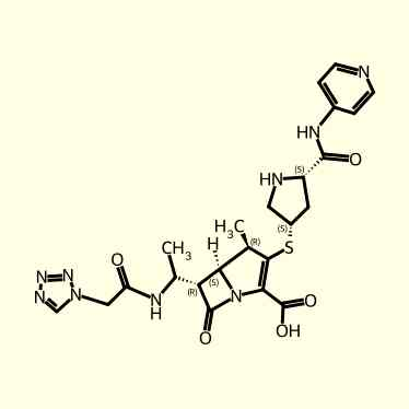 CC(NC(=O)Cn1cnnn1)[C@H]1C(=O)N2C(C(=O)O)=C(S[C@@H]3CN[C@H](C(=O)Nc4ccncc4)C3)[C@H](C)[C@H]12